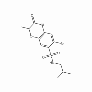 CC(C)CNS(=O)(=O)c1cc2c(cc1Br)NC(=O)C(C)O2